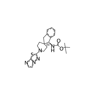 CC(C)(C)OC(=O)N[C@@H]1c2ccccc2CC12CCN(c1nn3ccnc3s1)CC2